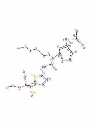 CCCCCCN(C(=O)Nc1ncc(C(S)C(=O)OCC)s1)c1cccc(NC(C)=O)c1